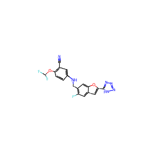 N#Cc1cc(NCc2cc3oc(-c4nnn[nH]4)cc3cc2F)ccc1OC(F)F